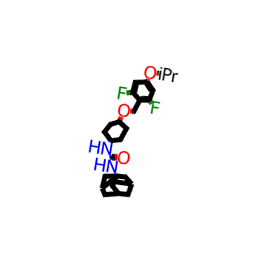 CC(C)Oc1cc(F)c(COC2CCC(NC(=O)NC34CC5CC(CC(C5)C3)C4)CC2)c(F)c1